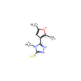 Cc1cc(-c2nnc(S)n2C)c(C)o1